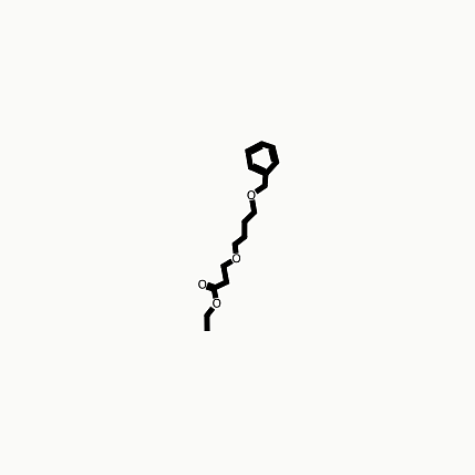 CCOC(=O)CCOCCCCOCc1ccccc1